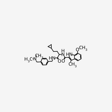 COc1cccc2c(C)c(C(=O)NC(CCC3CC3)C(=O)NCc3ccc(CN(C)C)cc3)[nH]c12